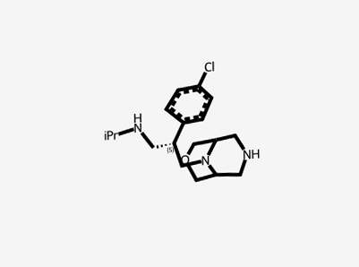 CC(C)NC[C@@H](CN1C2CNCC1COC2)c1ccc(Cl)cc1